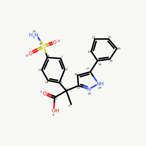 CC(C(=O)O)(c1ccc(S(N)(=O)=O)cc1)c1cc(-c2ccccc2)[nH]n1